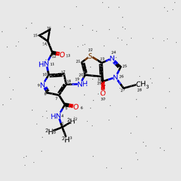 [2H]C([2H])([2H])NC(=O)c1cnc(NC(=O)C2CC2)cc1Nc1csc2ncn(CC)c(=O)c12